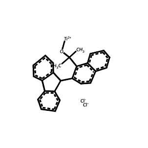 CC(C)([O][Ti+2])c1c(C2c3ccccc3-c3ccccc32)ccc2ccccc12.[Cl-].[Cl-]